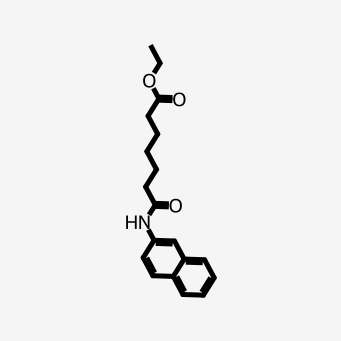 CCOC(=O)CCCCCC(=O)Nc1ccc2ccccc2c1